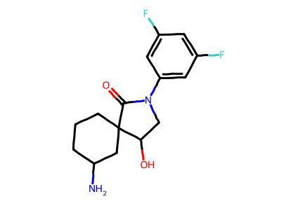 NC1CCCC2(C1)C(=O)N(c1cc(F)cc(F)c1)CC2O